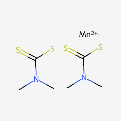 CN(C)C(=S)[S-].CN(C)C(=S)[S-].[Mn+2]